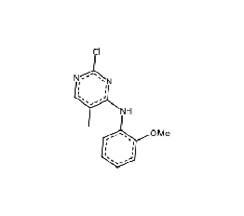 COc1ccccc1Nc1nc(Cl)ncc1C